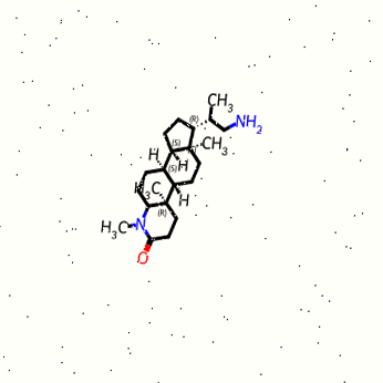 CC(CN)[C@H]1CC[C@H]2[C@@H]3CCC4N(C)C(=O)CC[C@]4(C)[C@H]3CC[C@]12C